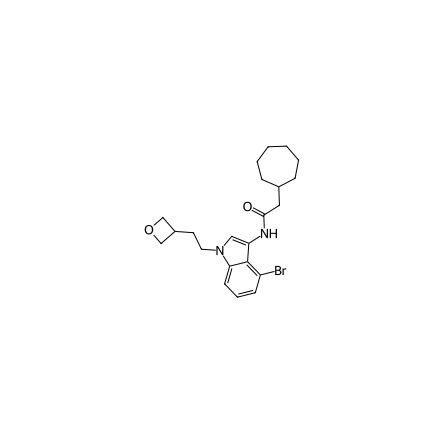 O=C(CC1CCCCCC1)Nc1cn(CCC2COC2)c2cccc(Br)c12